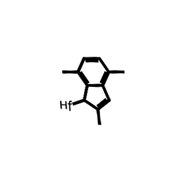 CC1=Cc2c(C)ccc(C)c2[CH]1[Hf]